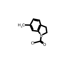 Cc1ccc2c(c1)N(C(=O)Cl)CC2